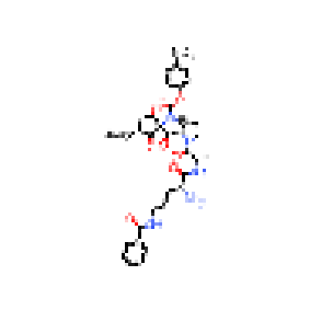 COC1CC(=O)C(C(=O)[C@H]2CCCN2C(=O)[C@H](C)NC(=O)[C@@H](N)CCCNC(=O)c2ccccc2)(N(C(=O)Oc2ccc([N+](=O)[O-])cc2)C(C)C)C1=O